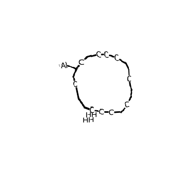 [Al][CH]1CCCCCCCCCCCCCCCCCCC1.[HH].[HH]